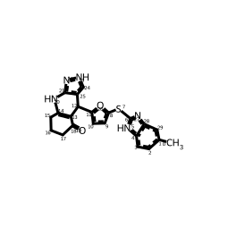 Cc1ccc2[nH]c(Sc3ccc(C4C5=C(CCCC5=O)Nc5n[nH]cc54)o3)nc2c1